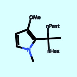 CCCCCCC(C)(CCCCC)c1c(OC)ccn1C